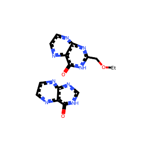 CCOCc1nc2nccnc2c(=O)[nH]1.O=c1[nH]cnc2nccnc12